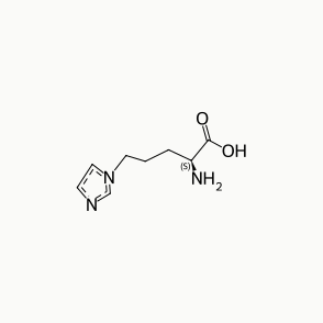 N[C@@H](CCCn1ccnc1)C(=O)O